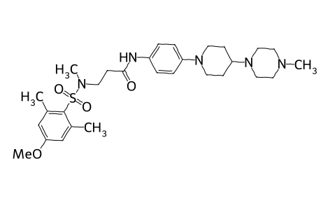 COc1cc(C)c(S(=O)(=O)N(C)CCC(=O)Nc2ccc(N3CCC(N4CCN(C)CC4)CC3)cc2)c(C)c1